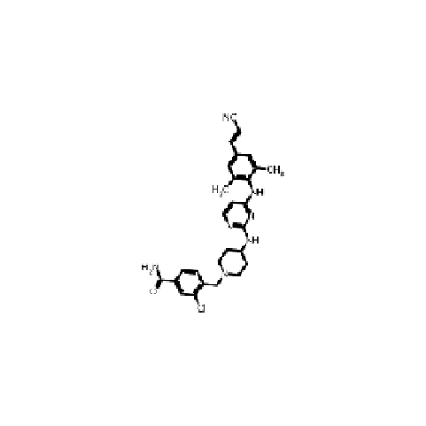 Cc1cc(C=CC#N)cc(C)c1Nc1ccnc(NC2CCN(Cc3ccc(C(N)=O)cc3Cl)CC2)n1